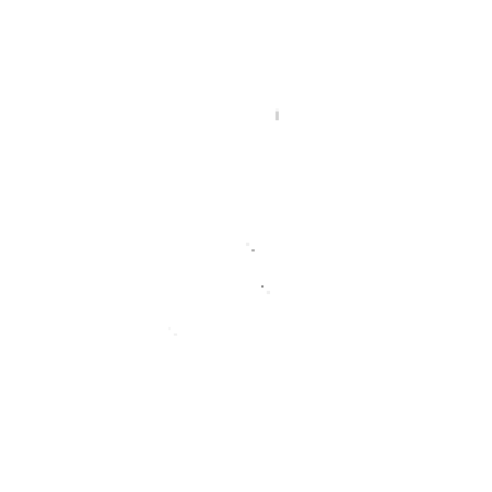 COC(=O)N1c2ccc3c(nc(C(C)Cc4ccccc4)n3[C@H]3CC[C@@H](C(=O)O)CC3)c2CC[C@@H]1C